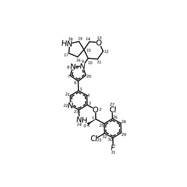 C[C@@H](Oc1cc(-c2cnn(C3CCOCC34CCNC4)c2)cnc1N)c1c(Cl)ccc(F)c1Cl